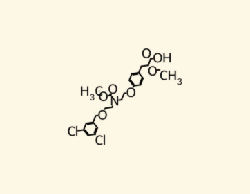 CCOC(Cc1ccc(OCCN(CCOCc2cc(Cl)cc(Cl)c2)C(=O)OC)cc1)C(=O)O